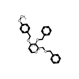 COc1ccc(CO[C@@H]2C=CO[C@H](COCc3ccccc3)[C@@H]2OCc2ccccc2)cc1